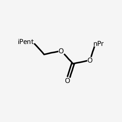 CCCOC(=O)OCC(C)CCC